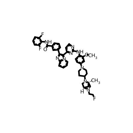 COc1cc(N2CCC(N3C[C@H]4C[C@]3(C)CN4CCF)CC2)ccc1Nc1nccc(-c2c(-c3cccc(C(=O)Nc4c(F)cccc4F)c3)nc3ccccn23)n1